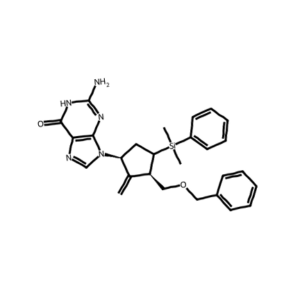 C=C1[C@H](COCc2ccccc2)C([Si](C)(C)c2ccccc2)C[C@@H]1n1cnc2c(=O)[nH]c(N)nc21